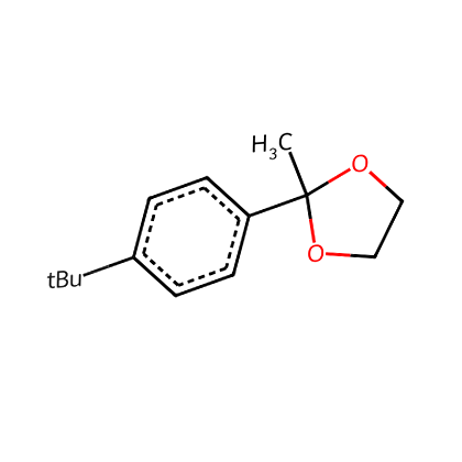 CC(C)(C)c1ccc(C2(C)OCCO2)cc1